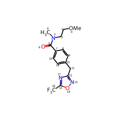 COCCN(C)C(=O)c1ccc(Cc2noc(C(F)(F)F)n2)cc1